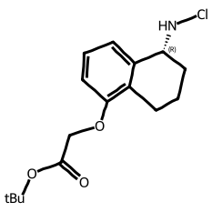 CC(C)(C)OC(=O)COc1cccc2c1CCC[C@H]2NCl